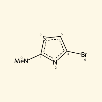 CNc1nc(Br)cs1